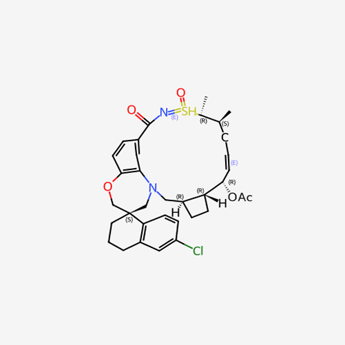 CC(=O)O[C@H]1/C=C/C[C@H](C)[C@@H](C)/[SH](=O)=N\C(=O)c2ccc3c(c2)N(C[C@@H]2CC[C@H]21)C[C@@]1(CCCc2cc(Cl)ccc21)CO3